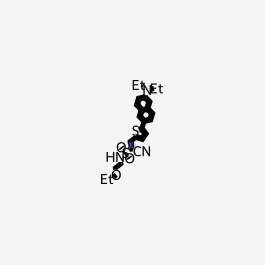 CCOCCNS(=O)(=O)/C(C#N)=C/c1ccc(-c2ccc3cc(N(CC)CC)ccc3c2)s1